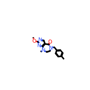 COc1ncc2c(n1)N(C)CCN(Cc1ccc(C)cc1)C2=O